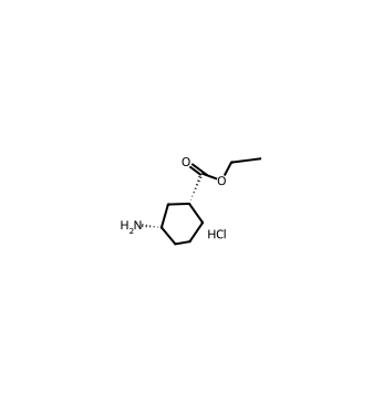 CCOC(=O)[C@@H]1CCC[C@H](N)C1.Cl